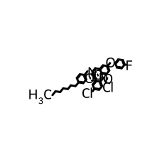 CCCCCCCCc1ccc(CN(Cc2cccc(Oc3ccc(F)cc3)c2)S(=O)(=O)c2cc(Cl)cc(Cl)c2N=O)cc1